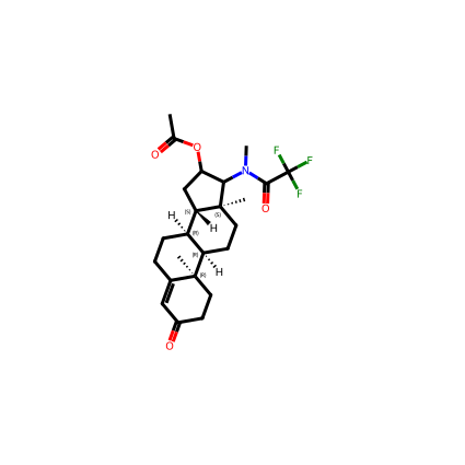 CC(=O)OC1C[C@H]2[C@@H]3CCC4=CC(=O)CC[C@]4(C)[C@@H]3CC[C@]2(C)C1N(C)C(=O)C(F)(F)F